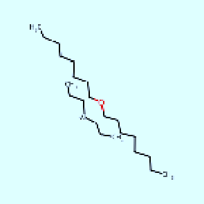 CCCCCCCCOCCCCCCCC.CC[CH2][Al][CH2]CC